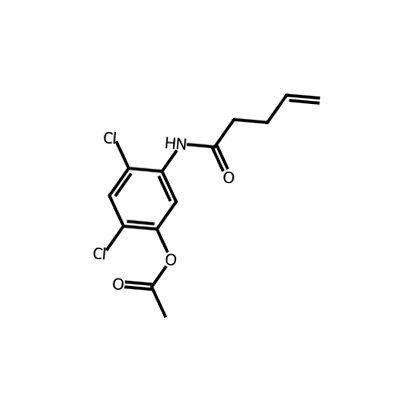 C=CCCC(=O)Nc1cc(OC(C)=O)c(Cl)cc1Cl